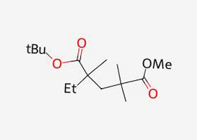 CCC(C)(CC(C)(C)C(=O)OC)C(=O)OC(C)(C)C